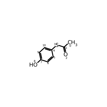 CC(=O)Sc1ccc(O)cc1